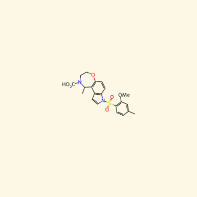 COc1cc(C)ccc1S(=O)(=O)n1ccc2c3c(ccc21)OCCN(C(=O)O)C3C